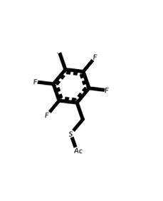 [CH2]c1c(F)c(F)c(CSC(C)=O)c(F)c1F